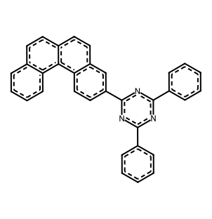 c1ccc(-c2nc(-c3ccccc3)nc(-c3ccc4c(ccc5ccc6ccccc6c54)c3)n2)cc1